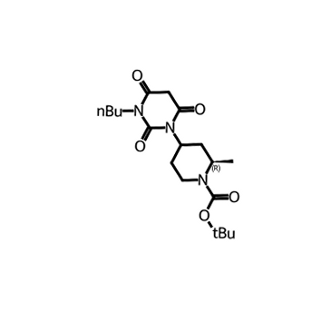 CCCCN1C(=O)CC(=O)N(C2CCN(C(=O)OC(C)(C)C)[C@H](C)C2)C1=O